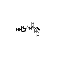 c1cc(N=NNc2cc[nH]n2)n[nH]1